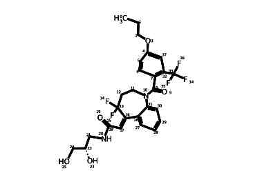 CCCOc1ccc(C(=O)N2CCC(F)(F)C(=CC(=O)NC[C@H](O)CO)c3ccccc32)c(C(F)(F)F)c1